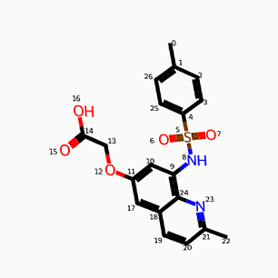 Cc1ccc(S(=O)(=O)Nc2cc(OCC(=O)O)cc3ccc(C)nc23)cc1